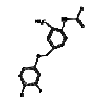 CCC(=O)Nc1ccc(COc2ccc(Cl)c(F)c2)cc1C(=O)O